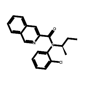 CC[C@@H](C)N(C(=O)c1cc2ccccc2cn1)c1ccccc1Cl